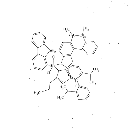 CCCC1=Cc2c(ccc(C(C)C)c2-c2ccccc2C(C)C)[CH]1[Zr]([Cl])([Cl])([c]1cccc2c1[SiH2]c1ccccc1-2)[CH]1C(CCC)=Cc2c1ccc(C(C)C)c2-c1ccccc1C(C)C